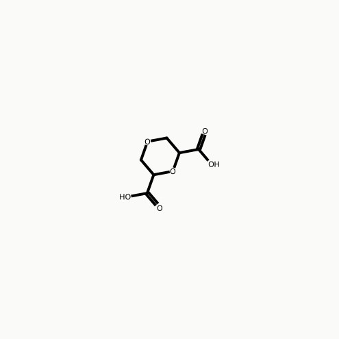 O=C(O)C1COCC(C(=O)O)O1